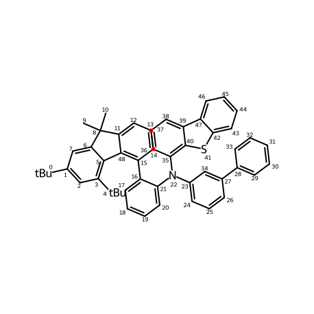 CC(C)(C)c1cc(C(C)(C)C)c2c(c1)C(C)(C)c1cccc(-c3ccccc3N(c3cccc(-c4ccccc4)c3)c3cccc4c3sc3ccccc34)c1-2